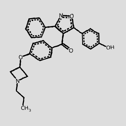 CCCN1CC(Oc2ccc(C(=O)c3c(-c4ccccc4)noc3-c3ccc(O)cc3)cc2)C1